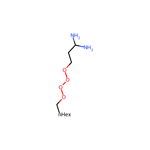 CCCCCCCOOOOCCC(N)N